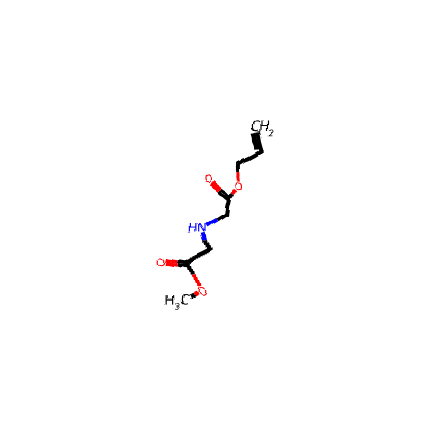 C=CCOC(=O)CNCC(=O)OC